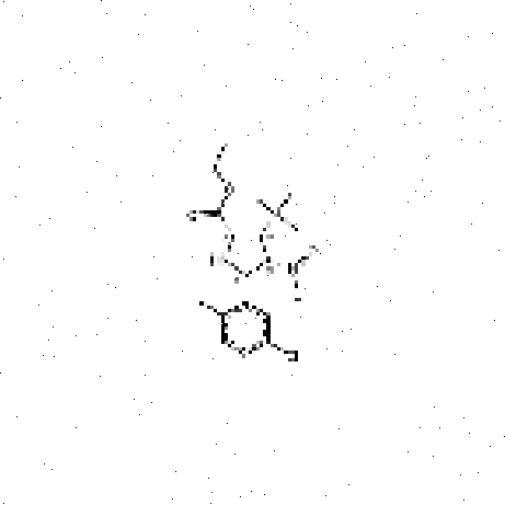 CCOC(=O)[C@H]1N[C@@H](c2cc(Cl)ccc2C)[C@@H]([N+](=O)[O-])[C@H]1C(C)(C)C